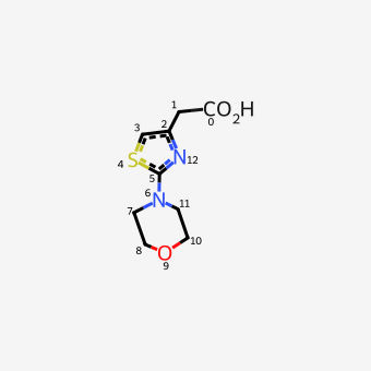 O=C(O)Cc1csc(N2CCOCC2)n1